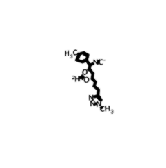 [2H]C(=O)OC(CCCCCc1cn(C)nn1)C([N+]#[C-])c1ccc(C)cc1